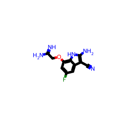 N#Cc1c(N)[nH]c2c(OCC(=N)N)cc(F)cc12